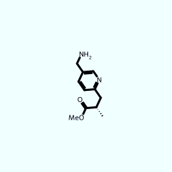 COC(=O)[C@@H](C)Cc1ccc(CN)cn1